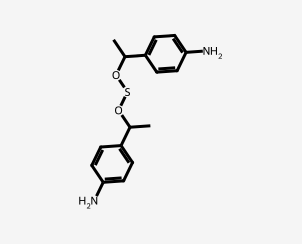 CC(OSOC(C)c1ccc(N)cc1)c1ccc(N)cc1